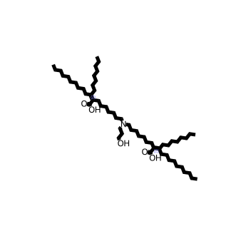 CCCCCCCCCC/C(CCCCCCCC)=C(/CCCCCCCN(CCCO)CCCCCCC/C(C(=O)O)=C(\CCCCCCCC)CCCCCCCCCC)C(=O)O